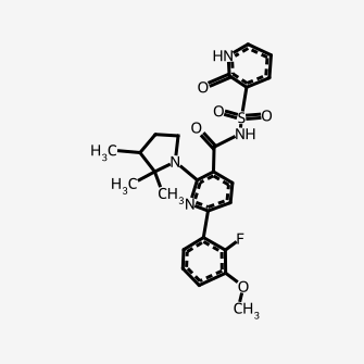 COc1cccc(-c2ccc(C(=O)NS(=O)(=O)c3ccc[nH]c3=O)c(N3CCC(C)C3(C)C)n2)c1F